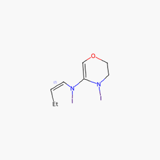 CC/C=C\N(I)C1=COCCN1I